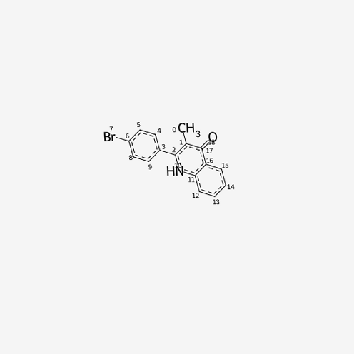 Cc1c(-c2ccc(Br)cc2)[nH]c2ccccc2c1=O